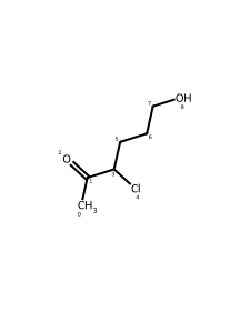 CC(=O)C(Cl)CCCO